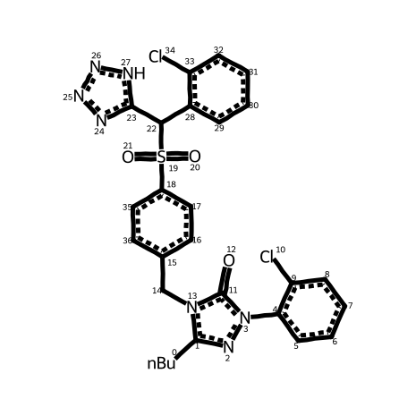 CCCCc1nn(-c2ccccc2Cl)c(=O)n1Cc1ccc(S(=O)(=O)C(c2nnn[nH]2)c2ccccc2Cl)cc1